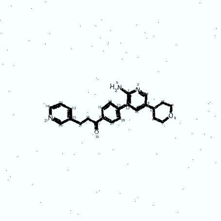 Nc1ncc(C2CCOCC2)cc1-c1ccc(C(=O)CCc2cccnc2)cc1